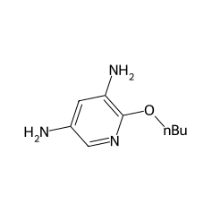 CCCCOc1ncc(N)cc1N